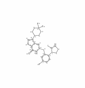 CN1NCCC1c1ccc(F)cc1Cc1nc2c(cnn2C2CCC(F)(F)CC2)c(=O)[nH]1